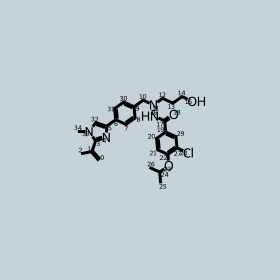 C=C(C)c1nc(-c2ccc(CN(CCCO)NC(=O)c3ccc(OC(C)C)c(Cl)c3)cc2)cn1C